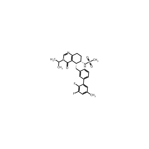 Cc1cc(F)c(F)c(-c2cccc(C[C@@H]3c4c(ncn(C(C)C)c4=O)CC[C@@H]3NS(C)(=O)=O)c2)c1